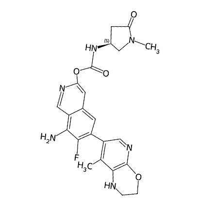 Cc1c(-c2cc3cc(OC(=O)N[C@H]4CC(=O)N(C)C4)ncc3c(N)c2F)cnc2c1NCCO2